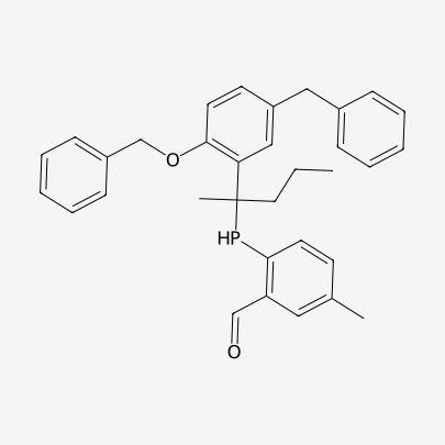 CCCC(C)(Pc1ccc(C)cc1C=O)c1cc(Cc2ccccc2)ccc1OCc1ccccc1